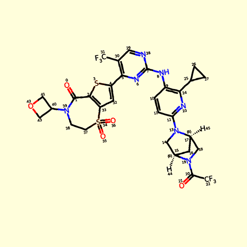 O=C1c2sc(-c3nc(Nc4ccc(N5C[C@H]6C[C@@H]5CN6C(=O)C(F)(F)F)nc4C4CC4)ncc3C(F)(F)F)cc2S(=O)(=O)CCN1C1COC1